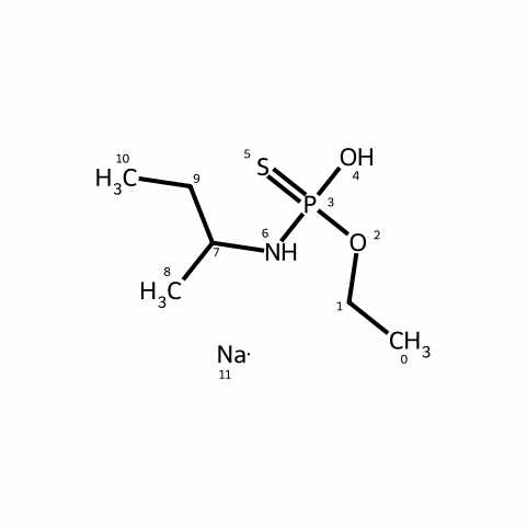 CCOP(O)(=S)NC(C)CC.[Na]